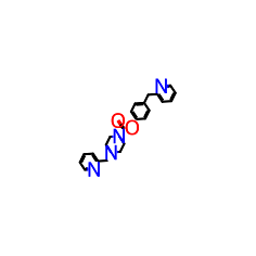 O=C(Oc1ccc(Cc2ccccn2)cc1)N1CCN(Cc2ccccn2)CC1